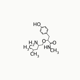 CNC(=O)C(Cc1ccc(O)cc1)OCC(N)CC(C)C